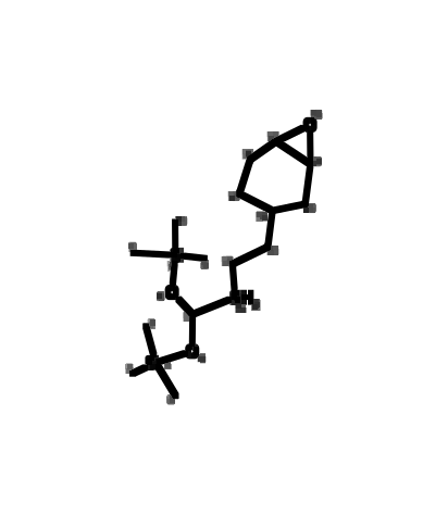 C[Si](C)(C)OC(O[Si](C)(C)C)[SiH2]CCC1CCC2OC2C1